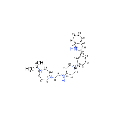 CC(C)N1CCCN(CCNC2CCN(c3cccc(-c4cc5ccccc5[nH]4)c3)CC2)CC1